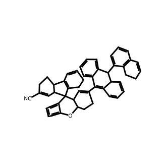 N#CC1=CC2C(CC1)C1=C(CCC=C1)C21c2ccccc2OC2CCC(C3=C4C=CC=CC4C(c4cccc5c4CCC=C5)c4ccccc43)=CC21